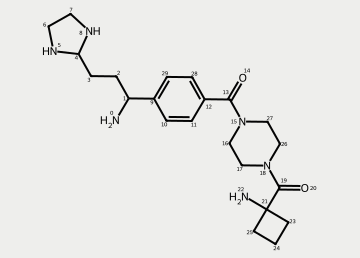 NC(CCC1NCCN1)c1ccc(C(=O)N2CCN(C(=O)C3(N)CCC3)CC2)cc1